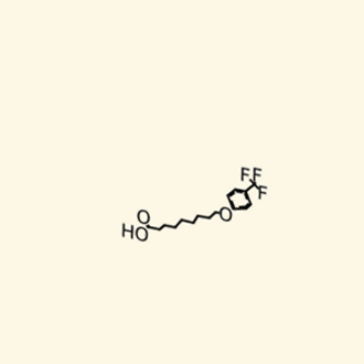 O=C(O)CCCCCCCCOc1ccc(C(F)(F)F)cc1